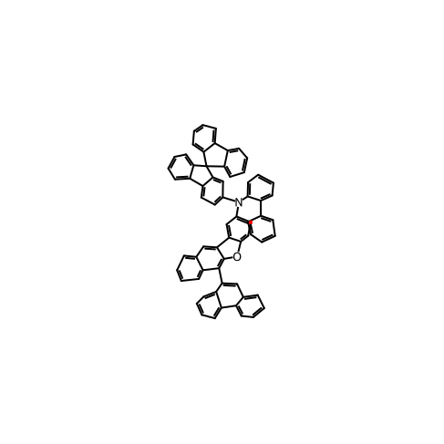 c1ccc(-c2ccccc2N(c2ccc3c(c2)C2(c4ccccc4-c4ccccc42)c2ccccc2-3)c2ccc3oc4c(-c5cc6ccccc6c6ccccc56)c5ccccc5cc4c3c2)cc1